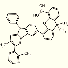 Cc1ccccc1-c1cc2c3cc(-c4cccc5c4Oc4c(B(O)O)cccc4C5(C)C)ccc3n(-c3ccccc3)c2cc1C